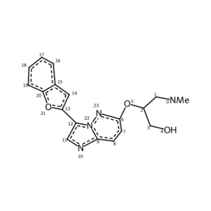 CNCC(CO)Oc1ccc2ncc(-c3cc4ccccc4o3)n2n1